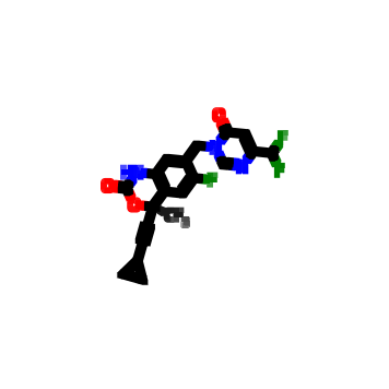 O=C1Nc2cc(Cn3cnc(C(F)F)cc3=O)c(F)cc2[C@@](C#CC2CC2)(C(F)(F)F)O1